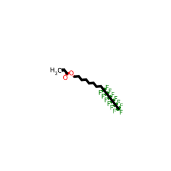 C=CC(=O)OCCCCCCCCC(F)(F)C(F)(F)C(F)(F)C(F)(F)C(F)(F)C(F)(F)F